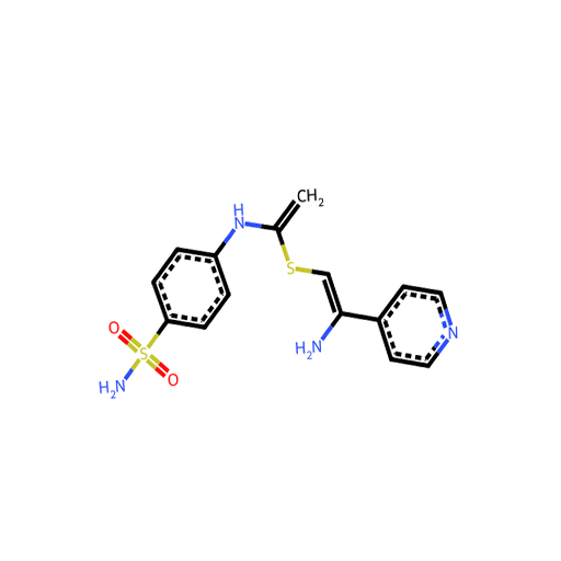 C=C(Nc1ccc(S(N)(=O)=O)cc1)S/C=C(\N)c1ccncc1